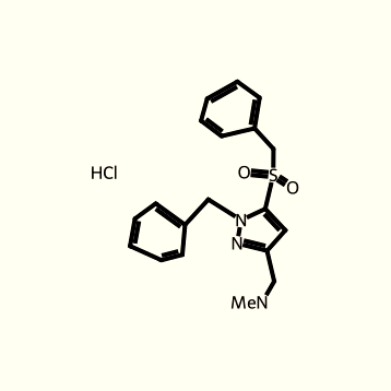 CNCc1cc(S(=O)(=O)Cc2ccccc2)n(Cc2ccccc2)n1.Cl